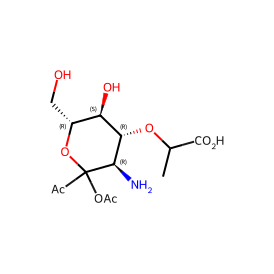 CC(=O)OC1(C(C)=O)O[C@H](CO)[C@@H](O)[C@H](OC(C)C(=O)O)[C@H]1N